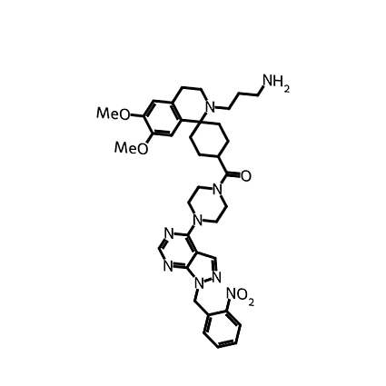 COc1cc2c(cc1OC)C1(CCC(C(=O)N3CCN(c4ncnc5c4cnn5Cc4ccccc4[N+](=O)[O-])CC3)CC1)N(CCCN)CC2